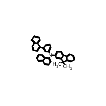 CC1(C)c2ccccc2-c2ccc(N(c3cccc(-c4cccc5ccccc45)c3)c3cccc4ccccc34)cc21